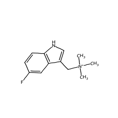 C[N+](C)(C)Cc1c[nH]c2ccc(F)cc12